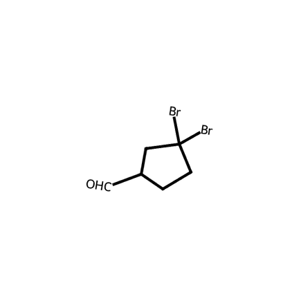 O=CC1CCC(Br)(Br)C1